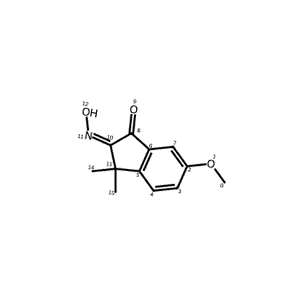 COc1ccc2c(c1)C(=O)/C(=N\O)C2(C)C